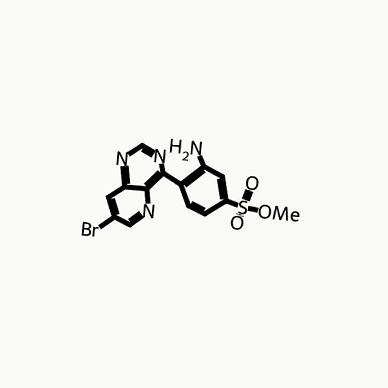 COS(=O)(=O)c1ccc(-c2ncnc3cc(Br)cnc23)c(N)c1